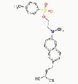 Cc1ccc(S(=O)(=O)OCCN(C)c2ccc3cc(CC=C(C#N)C#N)ccc3c2)cc1